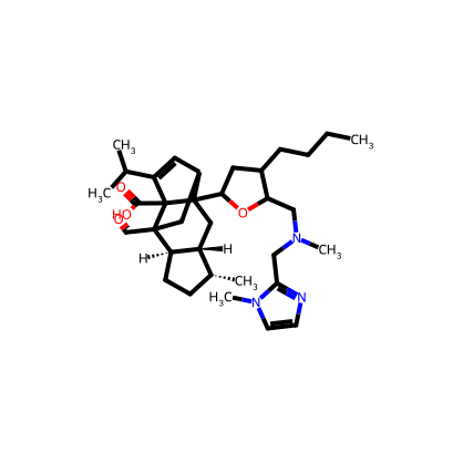 CCCCC1CC(C23C[C@@H]4[C@H](C)CC[C@H]4C4(C=O)CC2C=C(C(C)C)C34C(=O)O)OC1CN(C)Cc1nccn1C